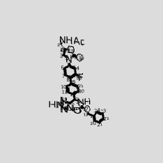 CC(=O)NC[C@H]1CN(c2ccc(-c3ccc(C(NC(=O)OCc4ccccc4)c4nn[nH]n4)cc3)c(F)c2)C(=O)O1